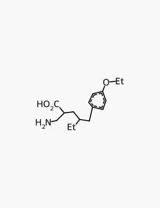 CCOc1ccc(CC(CC)CC(CN)C(=O)O)cc1